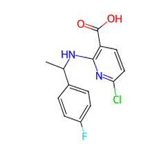 CC(Nc1nc(Cl)ccc1C(=O)O)c1ccc(F)cc1